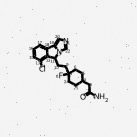 NC(=O)CC1CCC(F)(CCC2c3c(Cl)cccc3-c3cncn32)CC1